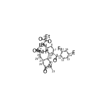 CCS(=O)(=O)Cc1ccc(C(=O)c2ccc(F)cc2F)c(-c2cn(C)c(=O)cc2[C@H](C)N[S@@+]([O-])C(C)(C)C)c1